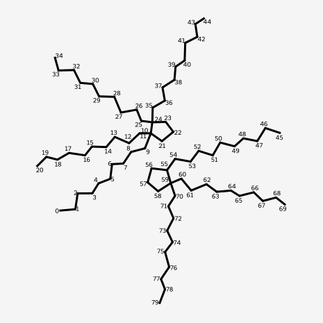 CCCCCCCCCCC1(CCCCCCCCCC)CCCC1(CCCCCCCCCC)CCCCCCCCCC.CCCCCCCCCCC1CCCC1(CCCCCCCCCC)CCCCCCCCCC